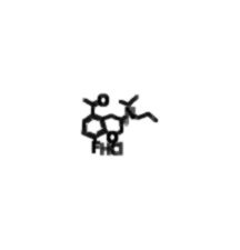 CCCN(C(C)C)[C@H]1COc2c(F)ccc(C(C)=O)c2C1.Cl